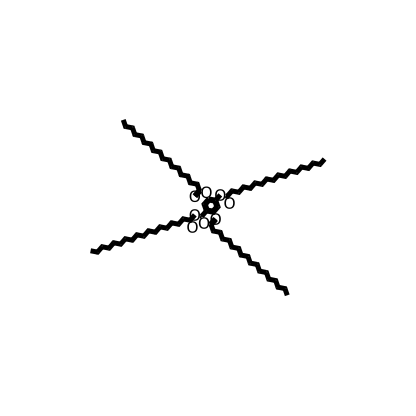 CCCCCCCCCCCCCCCCCC(=O)Oc1ccc(C(OC(=O)CCCCCCCCCCCCCCCCC)OC(=O)CCCCCCCCCCCCCCCCC)cc1OC(=O)CCCCCCCCCCCCCCCCC